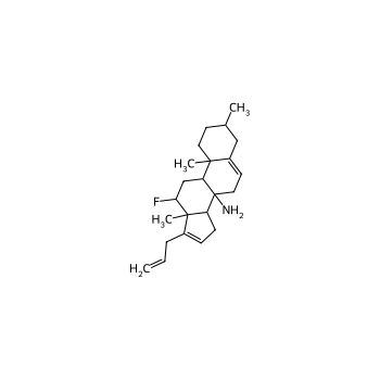 C=CCC1=CCC2C3(N)CC=C4CC(C)CCC4(C)C3CC(F)C12C